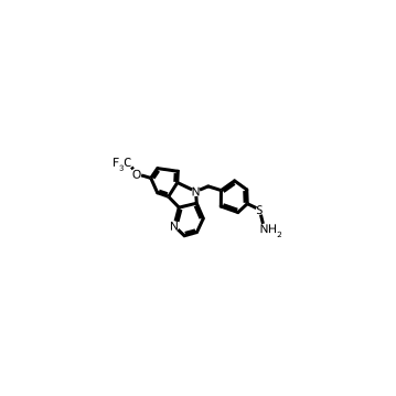 NSc1ccc(Cn2c3ccc(OC(F)(F)F)cc3c3ncccc32)cc1